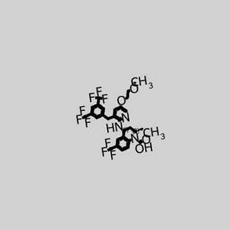 CC[C@@H]1C[C@H](Nc2ncc(OCCOC)cc2Cc2cc(C(F)(F)F)cc(C(F)(F)F)c2)c2cc(C(F)(F)F)ccc2N1C(=O)O